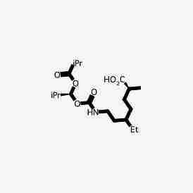 CCC(CCNC(=O)O[C@H](OC(=O)C(C)C)C(C)C)CC[C@H](C)C(=O)O